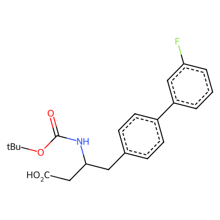 CC(C)(C)OC(=O)NC(CC(=O)O)Cc1ccc(-c2cccc(F)c2)cc1